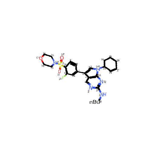 CCCCNc1ncc2c(-c3ccc(S(=O)(=O)N4CCOCC4)c(F)c3)cn(C3CCCCC3)c2n1